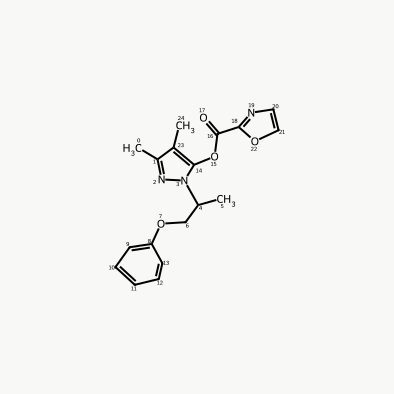 Cc1nn(C(C)COc2ccccc2)c(OC(=O)c2ncco2)c1C